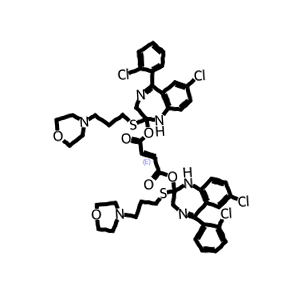 O=C(/C=C/C(=O)OC1(SCCCN2CCOCC2)CN=C(c2ccccc2Cl)c2cc(Cl)ccc2N1)OC1(SCCCN2CCOCC2)CN=C(c2ccccc2Cl)c2cc(Cl)ccc2N1